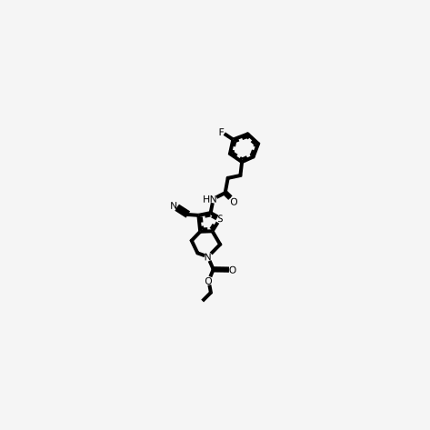 CCOC(=O)N1CCc2c(sc(NC(=O)CCc3cccc(F)c3)c2C#N)C1